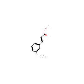 COc1cccc(/C=C/C(=O)OC(C)C)c1